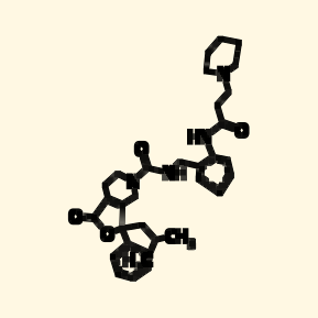 CC(C)CC1(c2ccccc2)OC(=O)C2=C1CN(C(=O)NCc1ccccc1NC(=O)CCN1CCCCC1)CC2